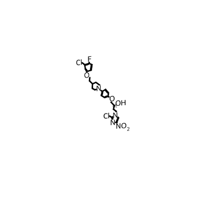 O=[N+]([O-])c1cn(CC[C@@H](O)COc2ccc(N3CCC(CCOc4ccc(F)c(Cl)c4)CC3)cc2)c(Cl)n1